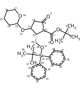 CC(C)(C)OC(=O)N1C(=O)CC(OC2CCCCO2)[C@H]1CO[Si](c1ccccc1)(c1ccccc1)C(C)(C)C